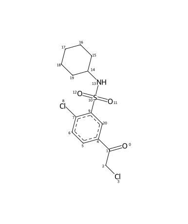 O=C(CCl)c1ccc(Cl)c(S(=O)(=O)NC2CCCCC2)c1